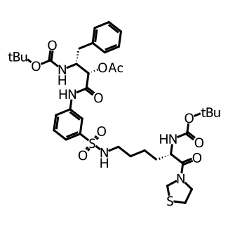 CC(=O)O[C@H](C(=O)Nc1cccc(S(=O)(=O)NCCCC[C@H](NC(=O)OC(C)(C)C)C(=O)N2CCSC2)c1)[C@@H](Cc1ccccc1)NC(=O)OC(C)(C)C